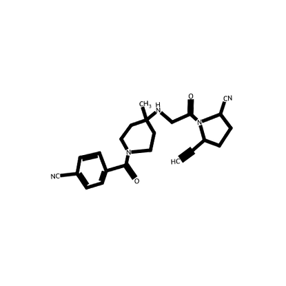 C#CC1CCC(C#N)N1C(=O)CNC1(C)CCN(C(=O)c2ccc(C#N)cc2)CC1